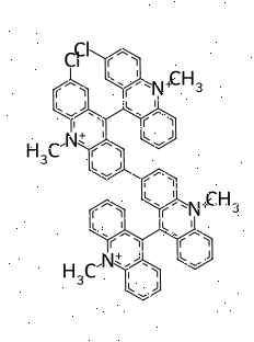 C[n+]1c2ccccc2c(-c2c3ccccc3[n+](C)c3ccc(-c4ccc5c(c4)c(-c4c6ccccc6[n+](C)c6ccc(Cl)cc46)c4cc(Cl)ccc4[n+]5C)cc23)c2ccccc21